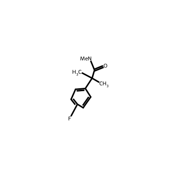 CNC(=O)C(C)(C)c1ccc(F)cc1